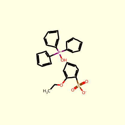 CCOc1ccccc1S(=O)(=O)[O-].O[P+](c1ccccc1)(c1ccccc1)c1ccccc1